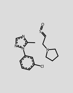 Cc1ncnn1-c1cccc(Cl)c1.O=S=CCN1CCCC1